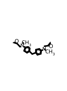 CN(CC1CO1)c1ccc(Cc2ccc(N(C)CC3CO3)cc2)cc1